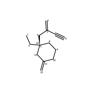 C#CC(=C)C[C@@]1(CC)CCCC(=C)C1